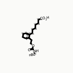 CCCCNC(=O)OCCC1C2CCC(O2)C1CCCCCCC(=O)O